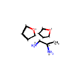 C1CCOC1.C1CCOC1.CC(N)CN